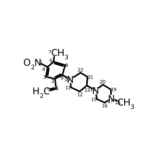 C=Cc1cc([N+](=O)[O-])c(C)cc1N1CCC(N2CCN(C)CC2)CC1